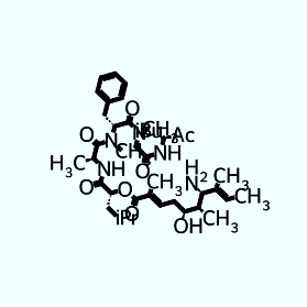 C/C=C(\C)[C@@H](N)[C@@H](C)[C@H](O)C/C=C(\C)C(=O)O[C@H](CC(C)C)C(=O)N[C@@H](C)C(=O)N(C)[C@H](Cc1ccccc1)C(=O)N(C)CC(=O)N[C@H](C(C)=O)C(C)CC